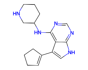 C1=C(c2c[nH]c3ncnc(NC4CCCNC4)c23)CCC1